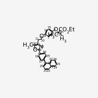 CCOC(=O)C(C)(C)Oc1ccc(OCCc2nc(-c3ccc(-c4cccc5ccccc45)cc3)oc2C)cc1